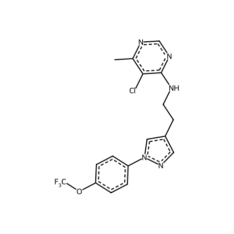 Cc1ncnc(NCCc2cnn(-c3ccc(OC(F)(F)F)cc3)c2)c1Cl